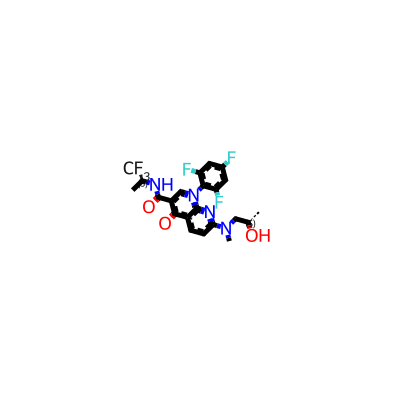 C[C@H](O)CN(C)c1ccc2c(=O)c(C(=O)N[C@@H](C)C(F)(F)F)cn(-c3c(F)cc(F)cc3F)c2n1